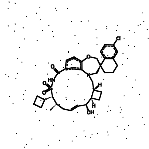 C[C@H]1C/C=C/[C@H](O)[C@@H]2CC[C@H]2CN2C[C@@]3(CCCc4cc(Cl)ccc43)COc3ccc(cc32)C(=O)NS(=O)(=O)[C@H]1C1CCC1